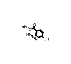 CCCCOC(=O)c1ccc(O)cc1.[N-]=[N+]=N